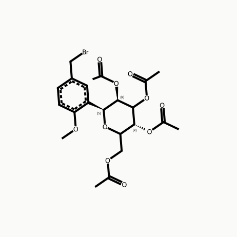 COc1ccc(CBr)cc1[C@@H]1OC(COC(C)=O)[C@@H](OC(C)=O)C(OC(C)=O)[C@@H]1OC(C)=O